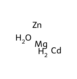 O.[Cd].[MgH2].[Zn]